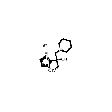 Cl.O=[N+]([O-])CC(O)(CN1CCCCC1)c1ncc[nH]1